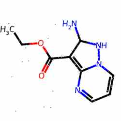 CCOC(=O)C1=C2N=CC=CN2NC1N